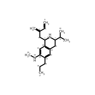 C=CC(=C)CC1NC(C(C)C)Cc2cc(CCC)c(NC)cc21